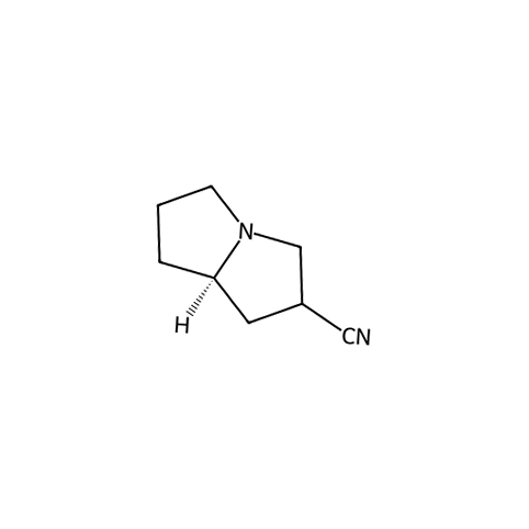 N#CC1C[C@H]2CCCN2C1